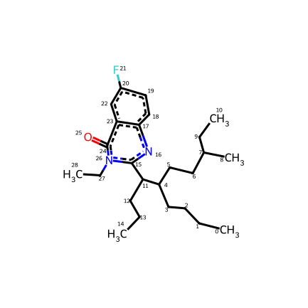 CCCCC(CCC(C)CC)C(CCC)c1nc2ccc(F)cc2c(=O)n1CC